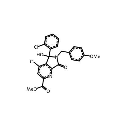 COC(=O)c1cc(Cl)c2c(n1)C(=O)N(Cc1ccc(OC)cc1)C2(O)c1ccccc1Cl